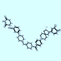 C[C@H]1CC2(CCN(c3ccc(C(=O)N4CCC(CN5CCN(c6cccc(N[C@H]7CCC(=O)NC7=O)c6)CC5)CC4)cc3)CC2)CN1c1ccc(C#N)c(Cl)c1